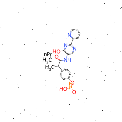 CC(C(=O)Nc1cnc(-c2ccccn2)nc1O)c1ccc(O[PH](=O)O)cc1.CCCC